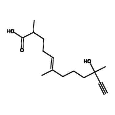 C#CC(C)(O)CCCC(C)=CCCC(C)C(=O)O